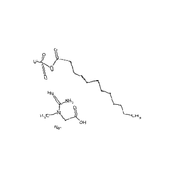 CCCCCCCCCCCC(=O)OS(=O)(=O)[O-].CN(CC(=O)O)C(=N)N.[Na+]